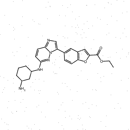 CCOC(=O)c1cc2cc(-c3cnc4ccc(NC5CCCC(N)C5)nn34)ccc2o1